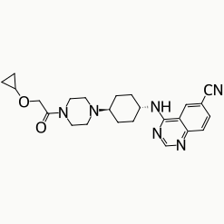 N#Cc1ccc2ncnc(N[C@H]3CC[C@H](N4CCN(C(=O)COC5CC5)CC4)CC3)c2c1